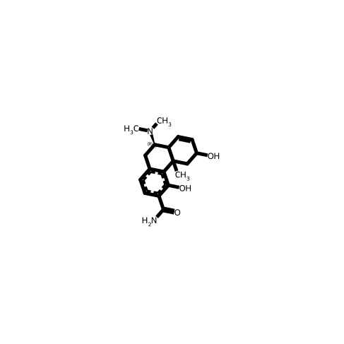 CN(C)[C@@H]1Cc2ccc(C(N)=O)c(O)c2C2(C)CC(O)C=CC12